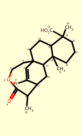 CC(C)C1=CC23CCOC(=O)C(C)C1CC2C1(C)CCCC(C)(C(=O)O)C1CC3